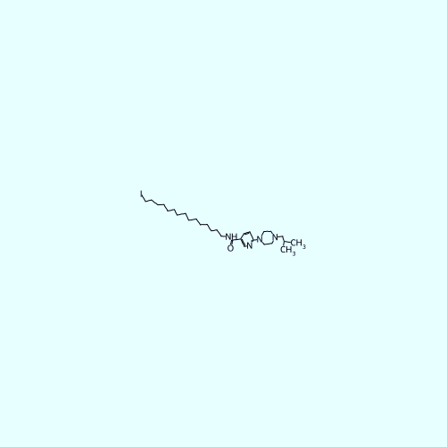 CC(C)CN1CCN(c2ccc(C(=O)NCCCCCCCCCCCCCCCI)cn2)CC1